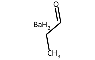 CCC=O.[BaH2]